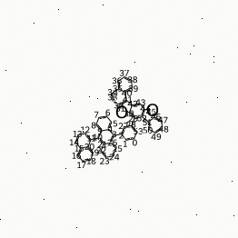 c1cc(-c2c3ccccc3c(-c3cccc4ccccc34)c3ccccc23)cc(-c2c3oc4ccc5ccccc5c4c3cc3oc4ccccc4c23)c1